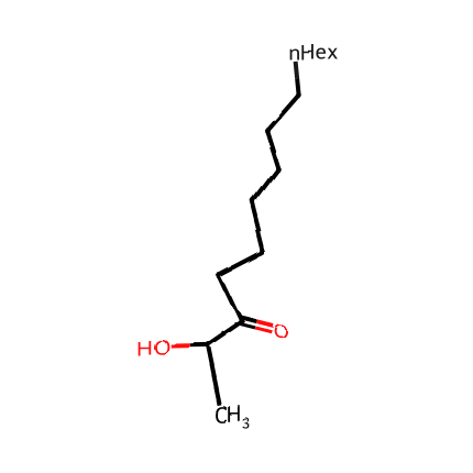 CCCCCCCCCCCCC(=O)C(C)O